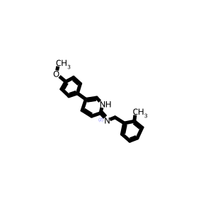 COc1ccc(-c2cc/c(=N/Cc3ccccc3C)[nH]c2)cc1